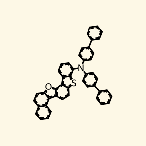 c1ccc(-c2ccc(N(c3ccc(-c4ccccc4)cc3)c3cccc4c3sc3ccc5c(oc6ccc7ccccc7c65)c34)cc2)cc1